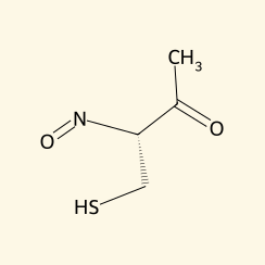 CC(=O)[C@H](CS)N=O